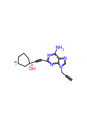 C#CCn1cnc2c(N)nc(C#C[C@]3(O)CCC[C@@H](C)C3)nc21